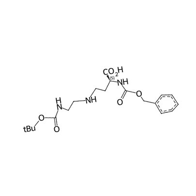 CC(C)(C)OC(=O)NCCNCC[C@H](NC(=O)OCc1ccccc1)C(=O)O